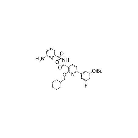 CC(C)COc1cc(F)cc(-c2ccc(C(=O)NS(=O)(=O)c3cccc(N)n3)c(OCC3CCCCC3)n2)c1